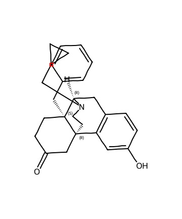 O=C1CC[C@@]2(Cc3ccccc3)[C@H]3Cc4ccc(O)cc4[C@@]2(CCN3CC2CC2)C1